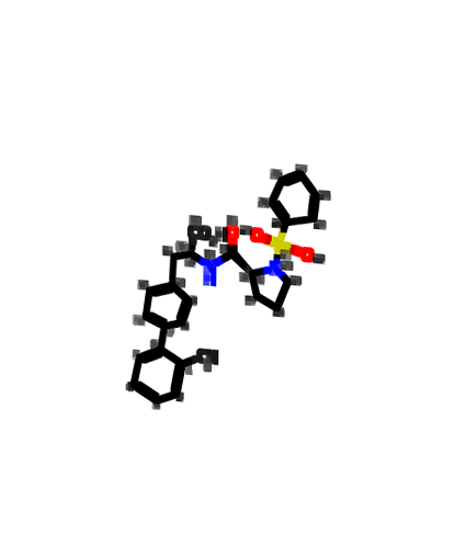 N#Cc1ccccc1-c1ccc(C[C@H](NC(=O)[C@@H]2CCCN2S(=O)(=O)c2ccccc2)C(=O)O)cc1